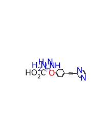 NN/C(Oc1ccc(C#Cc2cnccn2)cc1)=C(\N)C(=O)O